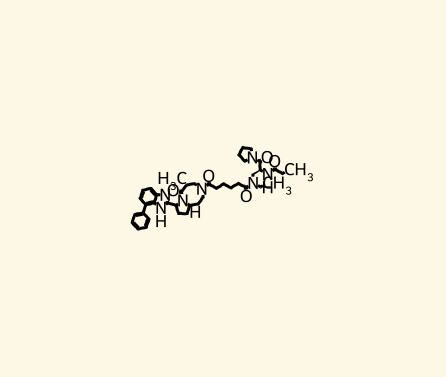 CCC(=O)N[C@@H](CN(CC)C(=O)CCCCC(=O)N1CC[C@H]2CCC(c3nc4cccc(-c5ccccc5)c4[nH]3)N2C(=O)C(C)C1)C(=O)N1CCCC1